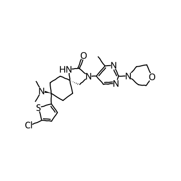 Cc1nc(N2CCOCC2)ncc1N1C[C@]2(CC[C@](c3ccc(Cl)s3)(N(C)C)CC2)NC1=O